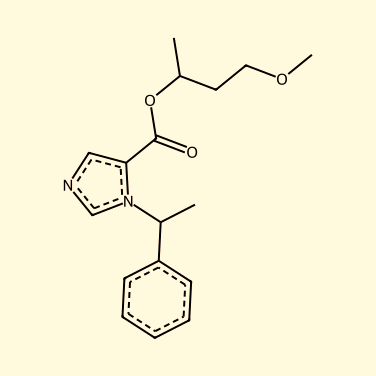 COCCC(C)OC(=O)c1cncn1C(C)c1ccccc1